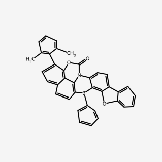 Cc1cccc(C)c1-c1ccc2ccc3c4c2c1OC(=O)N4c1ccc2c(oc4ccccc42)c1B3c1ccccc1